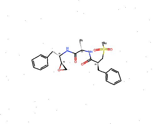 CC(C)[C@H](NC(=O)[C@H](Cc1ccccc1)CS(=O)(=O)C(C)(C)C)C(=O)N[C@@H](Cc1ccccc1)[C@H]1CO1